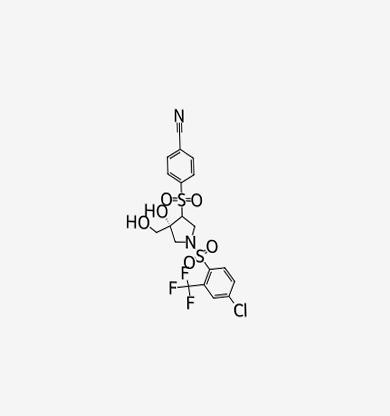 N#Cc1ccc(S(=O)(=O)C2CN(S(=O)(=O)c3ccc(Cl)cc3C(F)(F)F)C[C@@]2(O)CO)cc1